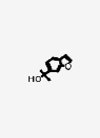 CC(C)(O)c1ccc2ccoc2c1